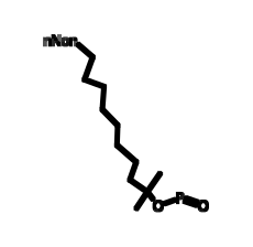 CCCCCCCCCCCCCCCCCC(C)(C)OP=O